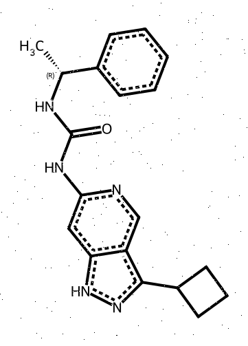 C[C@@H](NC(=O)Nc1cc2[nH]nc(C3CCC3)c2cn1)c1ccccc1